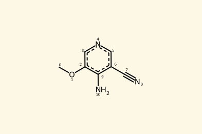 COc1cncc(C#N)c1N